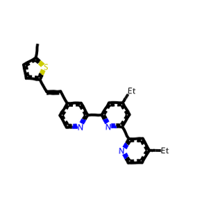 CCc1ccnc(-c2cc(CC)cc(-c3cc(/C=C/c4ccc(C)s4)ccn3)n2)c1